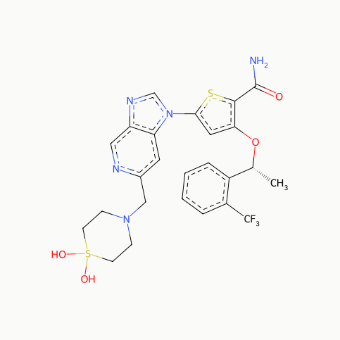 C[C@@H](Oc1cc(-n2cnc3cnc(CN4CCS(O)(O)CC4)cc32)sc1C(N)=O)c1ccccc1C(F)(F)F